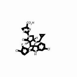 O=C(O)c1csc(N2C[C@H]3[C@@H](C2=O)[C@H](c2cccc(Cl)c2F)[C@]2(C(=O)Nc4cc(Cl)ccc42)N3CC2CC2)n1